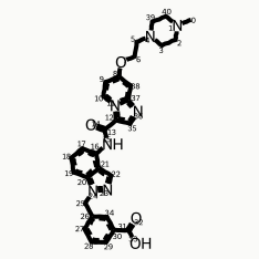 CN1CCN(CCOc2ccn3c(C(=O)Nc4cccc5c4cnn5Cc4cccc(C(=O)O)c4)cnc3c2)CC1